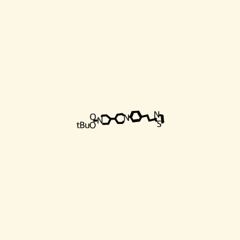 CC(C)(C)OC(=O)N1CCC(C2CCN(c3ccc(CCc4nccs4)cc3)CC2)CC1